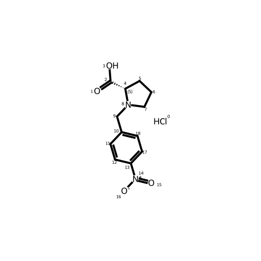 Cl.O=C(O)[C@@H]1CCCN1Cc1ccc([N+](=O)[O-])cc1